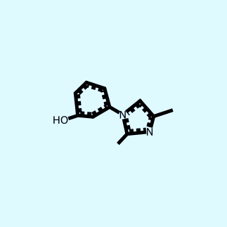 Cc1cn(-c2cccc(O)c2)c(C)n1